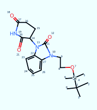 CC(C)(C)[Si](C)(C)OCCn1c(=O)n(C2CCC(=O)NC2=O)c2ccccc21